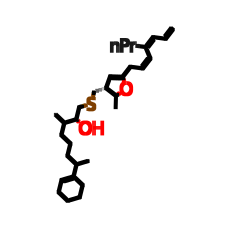 C=C/C=C(\C=C/CC1=C[C@@H](CSCC(O)C(C)CCCC(C)C2=CCCCC2)C(C)O1)CCC